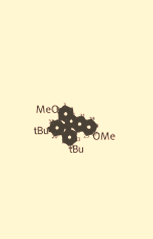 COc1ccc2c(c1)C(c1ccc(C(C)(C)C)cc1)(c1ccc(C(C)(C)C)cc1)c1cc3cc(OC)ccc3cc1-2